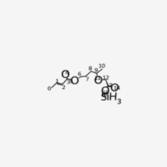 CC=CC(=O)OCCCC(C)OCC(=O)O[SiH3]